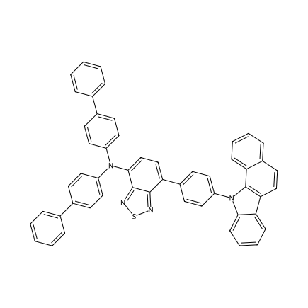 c1ccc(-c2ccc(N(c3ccc(-c4ccccc4)cc3)c3ccc(-c4ccc(-n5c6ccccc6c6ccc7ccccc7c65)cc4)c4nsnc34)cc2)cc1